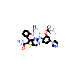 COc1ccccc1-c1c(C(N)=O)sc2cnc(Nc3ccc(-n4ccnc4)cc3OC(C)C)nc12